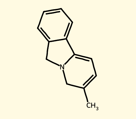 CC1=CC=C2c3ccccc3CN2C1